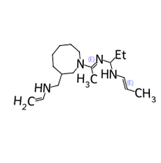 C=CNCC1CCCCCN(/C(C)=N/C(CC)N/C=C/C)C1